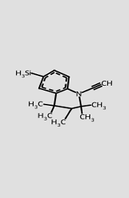 C#CN1c2ccc([SiH3])cc2C(C)(C)C(C)C1(C)C